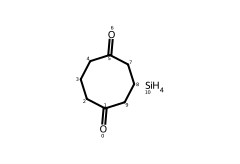 O=C1CCCC(=O)CCC1.[SiH4]